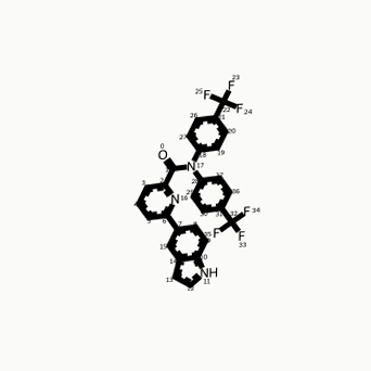 O=C(c1cccc(-c2ccc3[nH]ccc3c2)n1)N(c1ccc(C(F)(F)F)cc1)c1ccc(C(F)(F)F)cc1